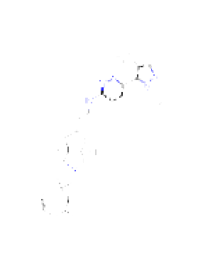 CCC1(CN2C[C@H]3CC(CCNc4ccc(-c5c(C)cnn5C)nn4)C[C@H]3C2)CC=CCC(C)C1